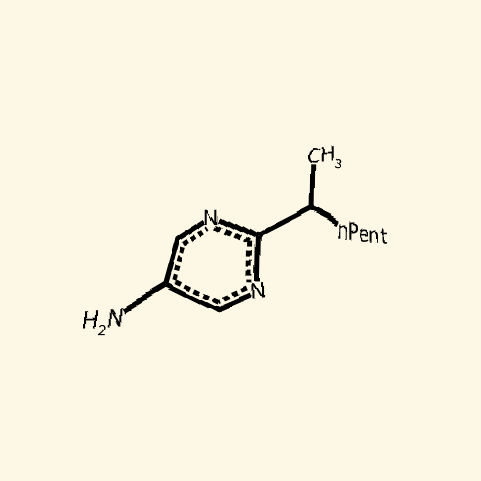 CCCCCC(C)c1ncc(N)cn1